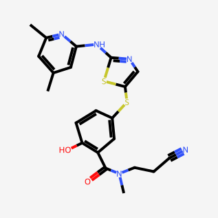 Cc1cc(C)nc(Nc2ncc(Sc3ccc(O)c(C(=O)N(C)CCC#N)c3)s2)c1